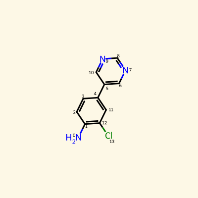 Nc1ccc(-c2cncnc2)cc1Cl